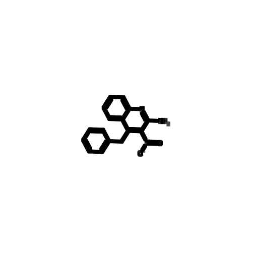 Nc1nc2ccccc2c(Cc2ccccc2)c1[N+](=O)[O-]